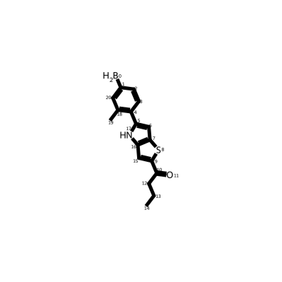 Bc1ccc(-c2cc3sc(C(=O)CCC)cc3[nH]2)c(C)c1